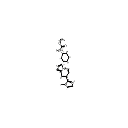 Cn1ccnc1-c1ccn2c([C@H]3CCC[C@@H](NC(=O)OC(C)(C)C)C3)nnc2c1